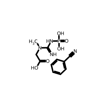 CN(CC(=O)O)C(=N)NP(=O)(O)O.N#Cc1ccccc1